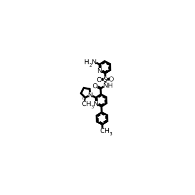 Cc1ccc(-c2ccc(C(=O)NS(=O)(=O)c3cccc(N)n3)c(N3CCC[C@@H]3C)n2)cc1